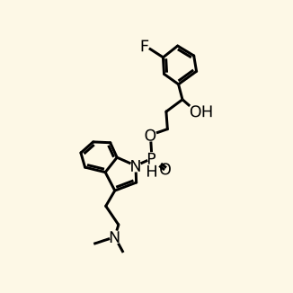 CN(C)CCc1cn([PH](=O)OCCC(O)c2cccc(F)c2)c2ccccc12